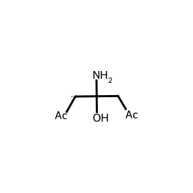 CC(=O)[CH]C(N)(O)CC(C)=O